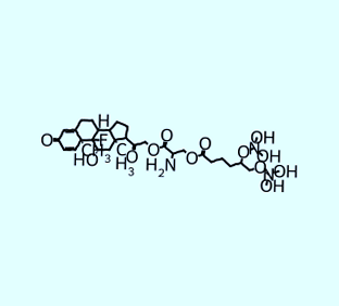 C[C@]12C[C@H](O)C3(F)[C@@H](CCC4=CC(=O)C=C[C@@]43C)C1CCC2C(=O)COC(=O)C(N)COC(=O)CCCC(CON(O)O)ON(O)O